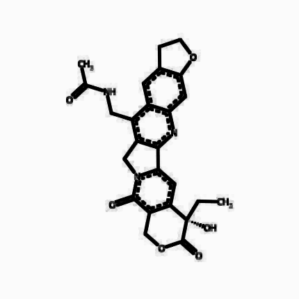 CC[C@@]1(O)C(=O)OCc2c1cc1n(c2=O)Cc2c-1nc1cc3c(cc1c2CNC(C)=O)CCO3